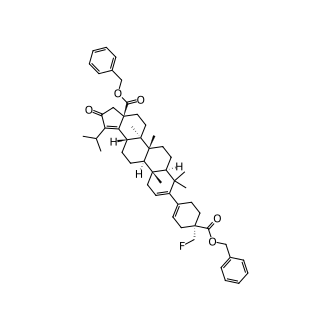 CC(C)C1=C2[C@H]3CC[C@@H]4[C@@]5(C)CC=C(C6=CC[C@](CF)(C(=O)OCc7ccccc7)CC6)C(C)(C)[C@@H]5CC[C@@]4(C)[C@]3(C)CC[C@@]2(C(=O)OCc2ccccc2)CC1=O